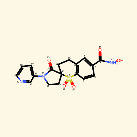 O=C(NO)c1ccc2c(c1)CCC1(CCN(c3cccnc3)C1=O)S2(=O)=O